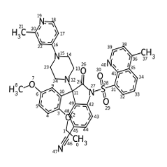 CCOc1ccc(OC)cc1C1(N2CCN(c3ccnc(C)c3)CC2)C(=O)N(S(=O)(=O)c2cccc3c(C)ccnc23)c2ccc(C#N)cc21